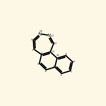 C1=Cc2ccc3ccccc3c2C=NN=1